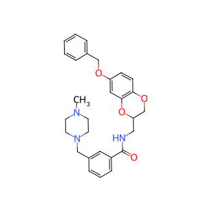 CN1CCN(Cc2cccc(C(=O)NCC3COc4ccc(OCc5ccccc5)cc4O3)c2)CC1